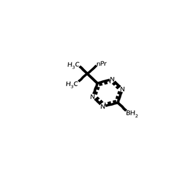 Bc1nnc(C(C)(C)CCC)nn1